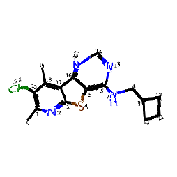 Cc1nc2sc3c(NCC4CCC4)ncnc3c2c(C)c1Cl